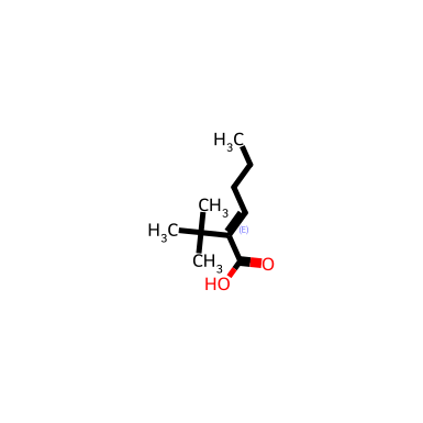 CCC/C=C(/C(=O)O)C(C)(C)C